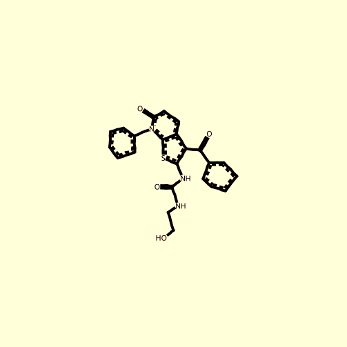 O=C(NCCO)Nc1sc2c(ccc(=O)n2-c2ccccc2)c1C(=O)c1ccccc1